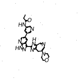 CCC(=O)Nc1cncc(-c2cnc3[nH]nc(-c4nc5c([nH]4)C=NC=C(N4CCOCC4)C5)c3c2)c1